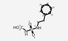 O=C(O)NS(=O)(=O)NCCc1ccccc1